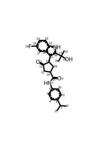 CC(C)c1ccc(NC(=O)C2CC(=O)C(c3c(C(C)(C)O)[nH]c4ccc(F)cc34)C2)cc1